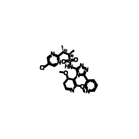 COC1=C(n2c(NS(=O)(=O)[C@H](C)[C@@H](C)c3ncc(Cl)cn3)nnc2-c2cccnc2)C(OC)CC=N1